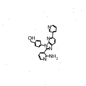 Nc1ncccc1-c1nc2ccc(-c3cccnc3)nc2n1-c1ccc(CO)cc1